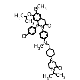 COc1cc2c(cc1OC(C)C)[C@H](c1ccc(Cl)cc1)N(c1ccc(N(C)C[C@H]3CC[C@H](N4CCN(C(C)C)C(=O)C4)CC3)cc1)C(=O)C2